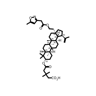 C=C(C)[C@@H]1CC[C@]2(CCOC(=O)Cc3cc(C)on3)CC[C@]3(C)[C@H](CC[C@@H]4[C@@]5(C)CC[C@H](OC(=O)CC(C)(C)CC(=O)O)C(C)(C)[C@@H]5CC[C@]43C)[C@@H]12